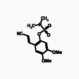 COc1cc(C=CC#N)c(OS(=O)(=O)N(C)C)cc1OC